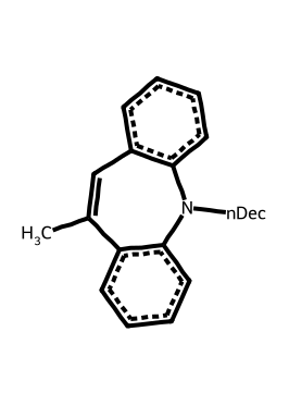 CCCCCCCCCCN1c2ccccc2C=C(C)c2ccccc21